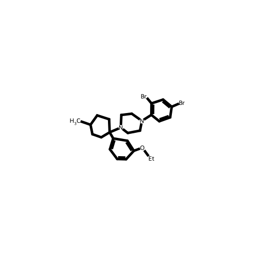 CCOc1cccc(C2(N3CCN(c4ccc(Br)cc4Br)CC3)CCC(C)CC2)c1